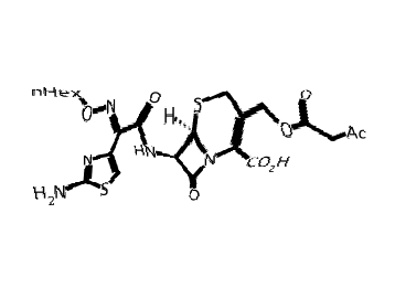 CCCCCCO/N=C(/C(=O)N[C@@H]1C(=O)N2C(C(=O)O)=C(COC(=O)CC(C)=O)CS[C@H]12)c1csc(N)n1